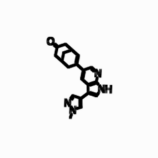 Cn1cc(-c2c[nH]c3ncc(C4=CC5CC(=O)CC(C4)C5)cc23)cn1